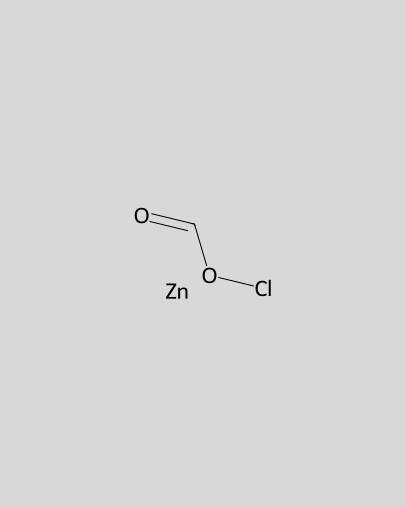 O=COCl.[Zn]